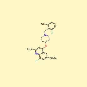 COc1cc(F)c2nc(C)cc(OC3CCN(Cc4c(F)cccc4C#N)CC3)c2c1